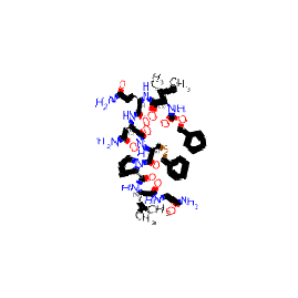 CCC(C)[C@H](NC(=O)OCc1ccccc1)C(=O)N[C@@H](CCC(N)=O)C(=O)N[C@@H](CC(N)=O)C(=O)N[C@@H](CSCc1ccccc1)C(=O)N1CCC[C@H]1C(=O)N[C@@H](CC(C)C)C(=O)NCC(N)=O